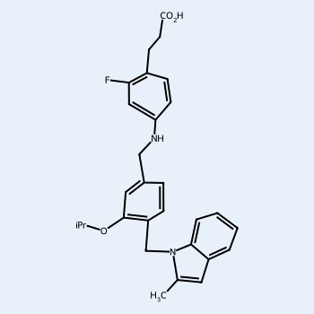 Cc1cc2ccccc2n1Cc1ccc(CNc2ccc(CCC(=O)O)c(F)c2)cc1OC(C)C